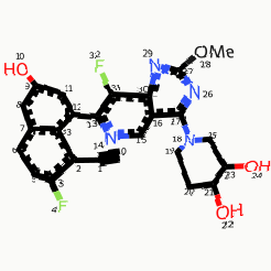 C#Cc1c(F)ccc2cc(O)cc(-c3ncc4c(N5CCC(O)C(O)C5)nc(OC)nc4c3F)c12